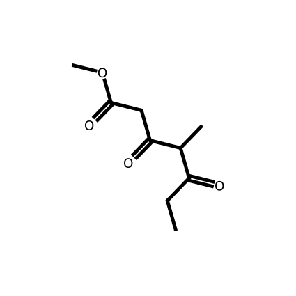 CCC(=O)C(C)C(=O)CC(=O)OC